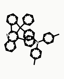 Cc1ccc(N(c2ccc(C)cc2)c2ccc(C3(c4ccccc4)c4ccccc4-c4nc5ccccc5c(-c5ccccc5)c43)cc2)cc1